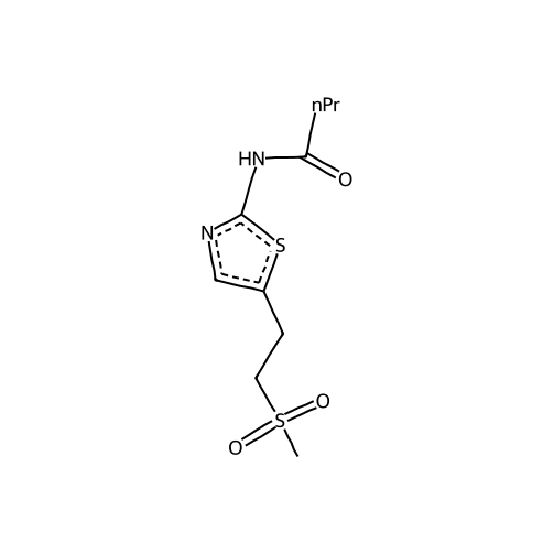 CCCC(=O)Nc1ncc(CCS(C)(=O)=O)s1